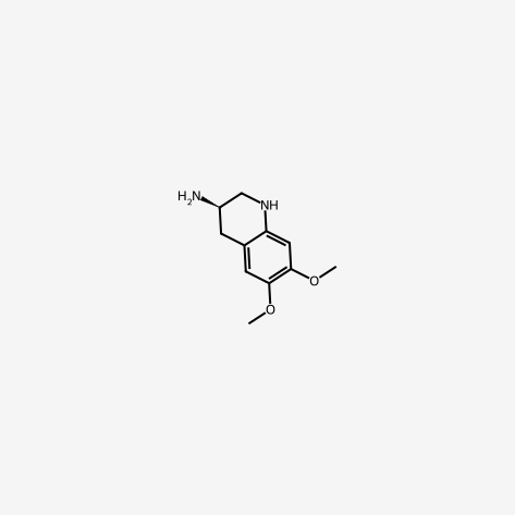 COc1cc2c(cc1OC)NC[C@H](N)C2